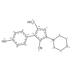 N#Cc1c(N2CCOCC2)sc(C(=O)O)c1-c1ccc(O)cc1